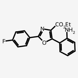 CCOC(=O)c1nc(-c2ccc(F)cc2)oc1-c1ccccc1N